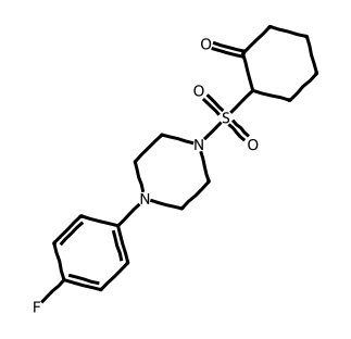 O=C1CCCCC1S(=O)(=O)N1CCN(c2ccc(F)cc2)CC1